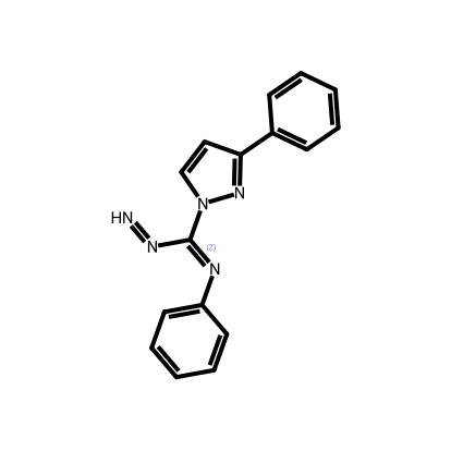 N=N/C(=N\c1ccccc1)n1ccc(-c2ccccc2)n1